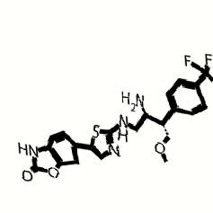 COC[C@@H](c1ccc(C(F)(F)F)cc1)[C@H](N)CNc1ncc(-c2ccc3[nH]c(=O)oc3c2)s1